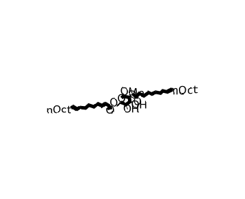 CCCCCCCCC=CCCCCCCCC(=O)OC[C@H]1OC(OC)[C@H](OC(=O)CCCCCCCC=CCCCCCCCC)[C@@H](O)[C@@H]1O